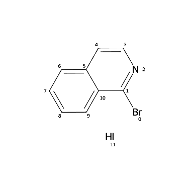 Brc1nccc2ccccc12.I